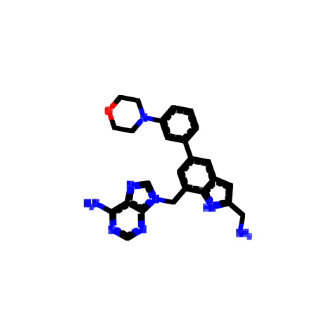 NCc1cc2cc(-c3cccc(N4CCOCC4)c3)cc(Cn3cnc4c(N)ncnc43)c2[nH]1